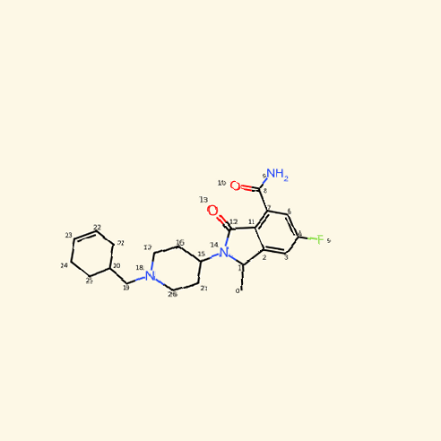 CC1c2cc(F)cc(C(N)=O)c2C(=O)N1C1CCN(CC2CC=CCC2)CC1